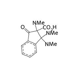 CNC1(C(=O)O)C(=O)c2ccccc2C1(NC)NC